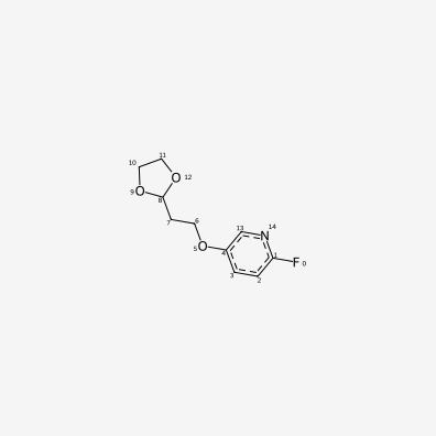 Fc1ccc(OCCC2OCCO2)cn1